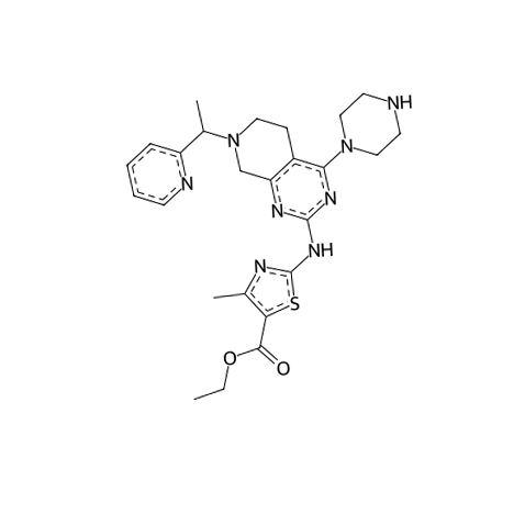 CCOC(=O)c1sc(Nc2nc3c(c(N4CCNCC4)n2)CCN(C(C)c2ccccn2)C3)nc1C